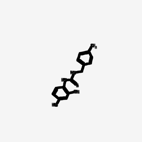 Oc1ccc(NC(=S)NCc2ccc(C(F)(F)F)cc2)c(O)c1